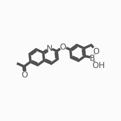 CC(=O)c1ccc2nc(Oc3ccc4c(c3)COB4O)ccc2c1